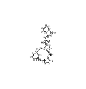 Cc1cnc2nc1Nc1ccc(NC(=O)Cc3cn(C)c4ccccc34)c(c1)CCc1cccc(c1)N2